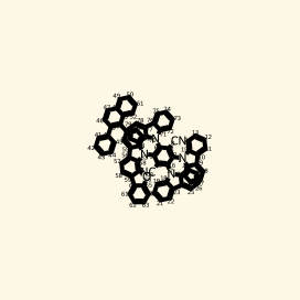 N#Cc1c(-n2c3ccccc3c3ccccc32)c(-n2c3ccccc3c3ccccc32)c(C#N)c(-n2c3ccc(-c4c(-c5ccccc5)ccc5ccccc45)cc3c3ccc4c5ccccc5oc4c32)c1-n1c2ccccc2c2ccccc21